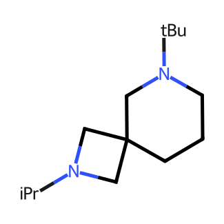 CC(C)N1CC2(CCCN(C(C)(C)C)C2)C1